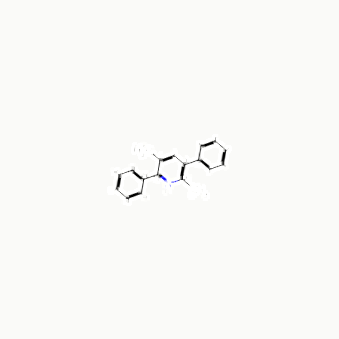 Cc1cc(-c2ccccc2)c(C)nc1-c1ccccc1